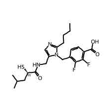 CCCCc1ncc(CNC(=O)[C@H](S)CC(C)C)n1Cc1ccc(C(=O)O)c(F)c1F